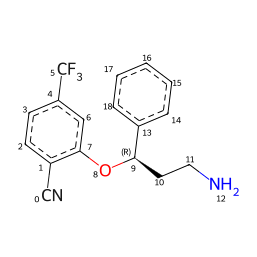 N#Cc1ccc(C(F)(F)F)cc1O[C@H](CCN)c1ccccc1